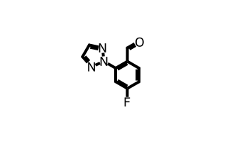 O=Cc1ccc(F)cc1-n1nccn1